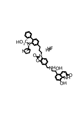 F.F.O=C(O)N(c1cc(CCCn2c(=O)oc3cc(CNC[C@H](O)c4ccc(O)c5[nH]c(=O)ccc45)ccc32)ccc1-c1ccccc1)C1CN2CCC1CC2